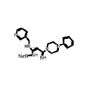 CNN/C(=C\C(=N)N1CCN(c2ccccc2)CC1)NCc1cccnc1